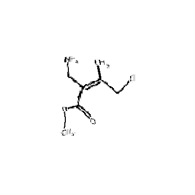 COC(=O)C(CN)=C(C)CCl